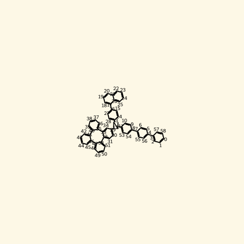 c1ccc(-c2ccc(-c3ccc(N(c4ccc(-c5cccc6ccccc56)cc4)c4ccc5c(c4)-c4ccccc4-c4ccccc4-c4ccccc4-5)cc3)cc2)cc1